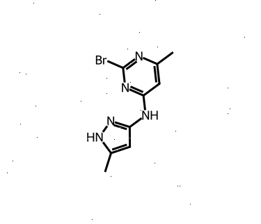 Cc1cc(Nc2cc(C)[nH]n2)nc(Br)n1